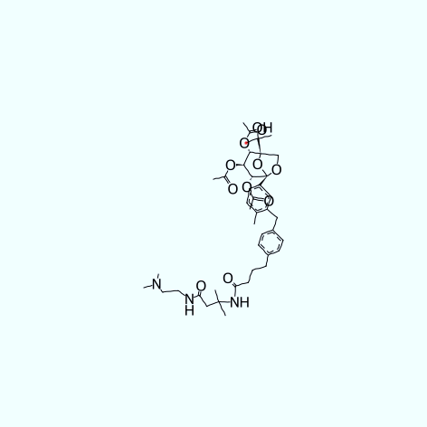 CC(=O)O[C@@H]1[C@@H](OC(C)=O)[C@@]2(c3ccc(C)c(Cc4ccc(CCCC(=O)NC(C)(C)CC(=O)NCCN(C)C)cc4)c3)OC[C@](C(C)(C)O)(O2)[C@H]1OC(C)=O